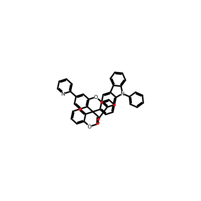 c1ccc(-n2c3ccccc3c3ccc(-c4cccc5c4C4(c6ccccc6Oc6cc(-c7ccccn7)ccc64)c4ccccc4O5)cc32)cc1